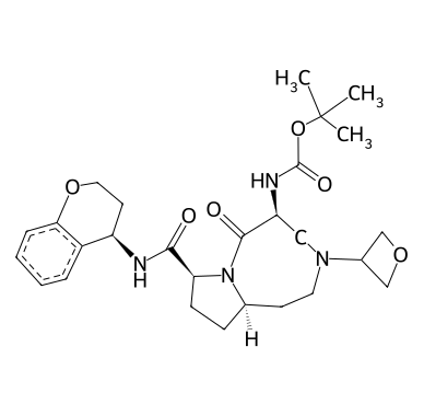 CC(C)(C)OC(=O)N[C@H]1CN(C2COC2)CC[C@H]2CC[C@@H](C(=O)N[C@@H]3CCOc4ccccc43)N2C1=O